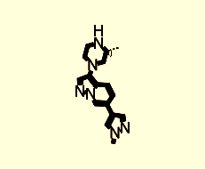 C[C@@H]1CN(c2cnn3cc(-c4cnn(C)c4)ccc23)CCN1